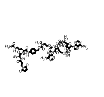 CC(C)[C@H](NC(=O)CCN1C(=O)C=CC1=O)C(=O)N[C@@H](CCCNC(N)=O)C(=O)Nc1ccc(COC(=O)N(C)CCOC(=O)O[C@@H]2[C@@H]3O[P@](=O)(S)O[C@H](C)[C@H]4O[C@@H](n5cnc6c(N)ncnc65)[C@H](O[P@](=O)(S)OCC3O[C@H]2n2cnc3c(N)ncnc32)[C@@H]4O)cc1